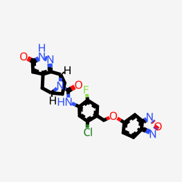 O=C(Nc1cc(Cl)c(COc2ccc3nonc3c2)cc1F)N1[C@H]2CC[C@@H]1c1n[nH]c(=O)cc1C2